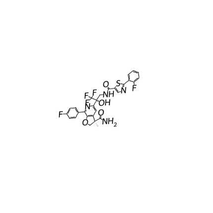 C[C@]1(C(N)=O)COc2c1cc([C@@](O)(CNC(=O)c1cnc(-c3ccccc3F)s1)C(F)(F)F)nc2-c1ccc(F)cc1